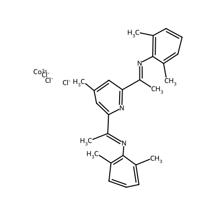 CC(=Nc1c(C)cccc1C)c1cc(C)cc(C(C)=Nc2c(C)cccc2C)n1.[Cl-].[Cl-].[Cl-].[Co+3]